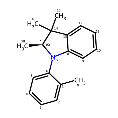 Cc1ccccc1N1c2ccccc2C(C)(C)[C@@H]1C